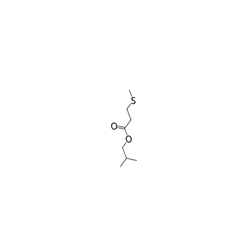 CSCCC(=O)OCC(C)C